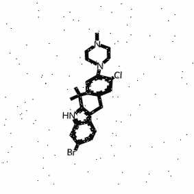 CN1CCN(c2cc3c(cc2Cl)Cc2c([nH]c4cc(Br)ccc24)C3(C)C)CC1